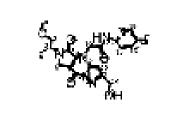 COC[C@H](C)N1Cc2c(n(CC(=O)Nc3ccc(F)cn3)c3cc(CO)nn3c2=O)C1=O